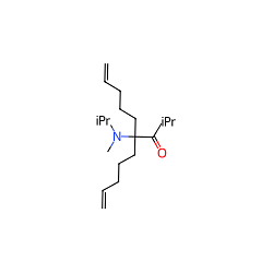 C=CCCCC(CCCC=C)(C(=O)C(C)C)N(C)C(C)C